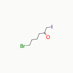 O=C(CI)CCCCBr